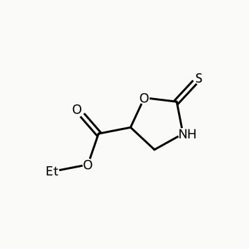 CCOC(=O)C1CNC(=S)O1